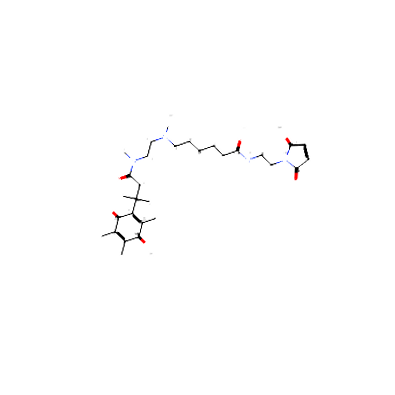 CC1=C(C)C(=O)C(C(C)(C)CC(=O)N(C)CCN(CCCCCC(=O)NCCN2C(=O)C=CC2=O)C(=O)O)=C(C)C1=O